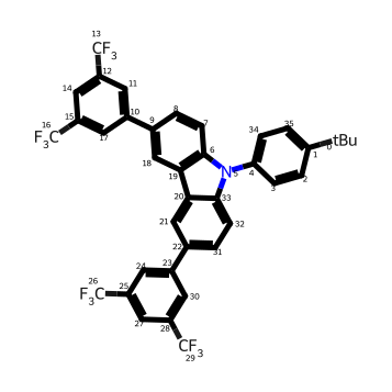 CC(C)(C)c1ccc(-n2c3ccc(-c4cc(C(F)(F)F)cc(C(F)(F)F)c4)cc3c3cc(-c4cc(C(F)(F)F)cc(C(F)(F)F)c4)ccc32)cc1